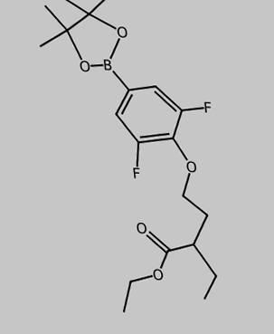 CCOC(=O)C(CC)CCOc1c(F)cc(B2OC(C)(C)C(C)(C)O2)cc1F